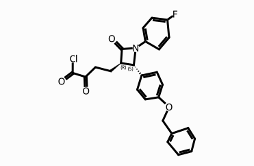 O=C(Cl)C(=O)CC[C@H]1C(=O)N(c2ccc(F)cc2)[C@@H]1c1ccc(OCc2ccccc2)cc1